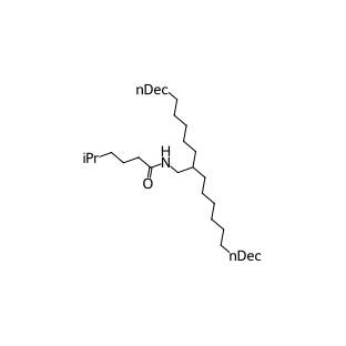 CCCCCCCCCCCCCCCCC(CCCCCCCCCCCCCCC)CNC(=O)CCCC(C)C